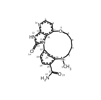 CN1CCCCOc2ccnc3[nH]c(=O)n(c23)-c2ccc(C(N)=O)c1c2